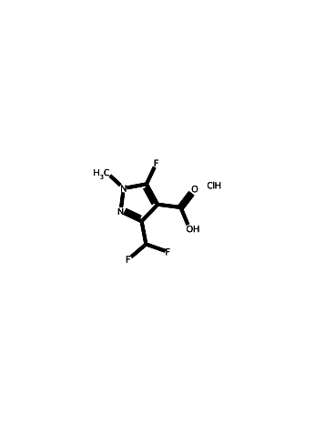 Cl.Cn1nc(C(F)F)c(C(=O)O)c1F